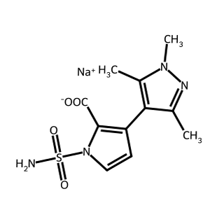 Cc1nn(C)c(C)c1-c1ccn(S(N)(=O)=O)c1C(=O)[O-].[Na+]